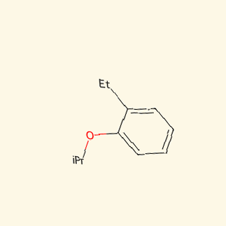 [CH2]Cc1ccccc1OC(C)C